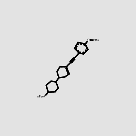 CCCCCC1CCC(C2CC=C(C#Cc3ccc(OCCCC)cc3)CC2)CC1